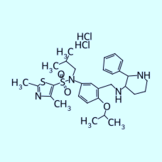 Cc1nc(C)c(S(=O)(=O)N(CC(C)C)c2ccc(OC(C)C)c(CNC3CCCNC3c3ccccc3)c2)s1.Cl.Cl